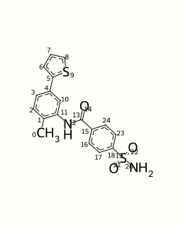 Cc1ccc(-c2cccs2)cc1NC(=O)c1ccc(S(N)(=O)=O)cc1